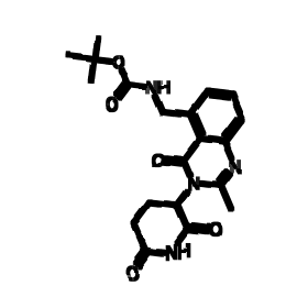 Cc1nc2cccc(CNC(=O)OC(C)(C)C)c2c(=O)n1C1CCC(=O)NC1=O